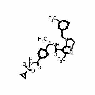 C[C@H](NC(=O)c1c(C(F)(F)F)nn2c1N(Cc1cccc(C(F)(F)F)c1)CC2)c1ccc(C(=O)NS(=O)(=O)C2CC2)cc1